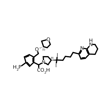 O=C(O)C(c1cc(P)ccc1CO[C@H]1CCOC1)N1CC[C@@H](C(I)(I)CCCCc2ccc3c(n2)NCCC3)C1